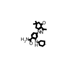 Cc1nn(-c2ccc(C(N)=O)c(NC3CC[CH]CC3)c2)c2c1C(=O)CC(C)(C)C2